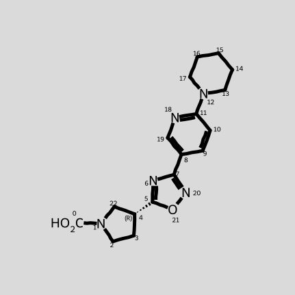 O=C(O)N1CC[C@@H](c2nc(-c3ccc(N4CCCCC4)nc3)no2)C1